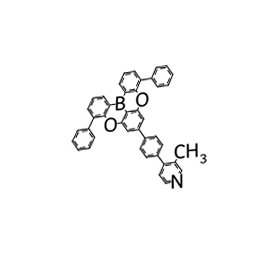 Cc1cnccc1-c1ccc(-c2cc3c4c(c2)Oc2c(cccc2-c2ccccc2)B4c2cccc(-c4ccccc4)c2O3)cc1